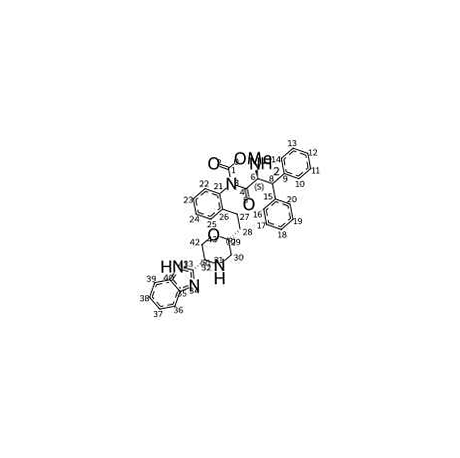 COC(=O)N(C(=O)[C@@H](N)C(c1ccccc1)c1ccccc1)c1ccccc1CC[C@@H]1CN[C@H](c2nc3ccccc3[nH]2)CO1